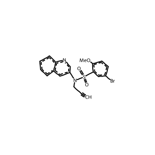 C#CCN(c1cnc2ccccc2c1)S(=O)(=O)c1cc(Br)ccc1OC